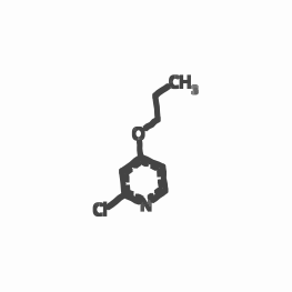 CCCOc1ccnc(Cl)c1